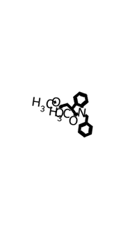 COC(=O)CC1(C)C(=O)N(Cc2ccccc2)c2ccccc21